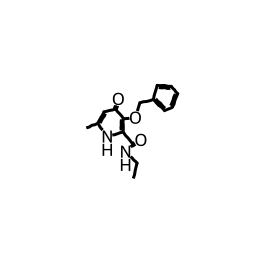 CCNC(=O)c1[nH]c(C)cc(=O)c1OCc1ccccc1